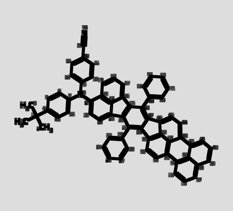 CC(C)(C)c1ccc(N(c2ccc(C#N)cc2)c2ccc3c4c(-c5ccccc5)c5c6ccc7c8cccc9cccc(c%10ccc(c5c(-c5ccccc5)c4c4cccc2c43)c6c%107)c98)cc1